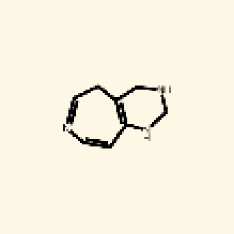 C1=CC2=C(CC=N1)CNCN2